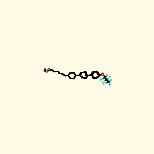 CCCCCCCC1CCC(c2ccc(-c3ccc(OC(F)(F)C(F)(F)C(F)(F)F)cc3)cc2)CC1